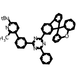 Cc1nc(C(C)(C)C)ccc1-c1cccc(-c2nc(-c3ccccc3)nc(-c3ccc4c(c3)C3(c5ccccc5Oc5ccccc53)c3ccccc3-4)n2)c1